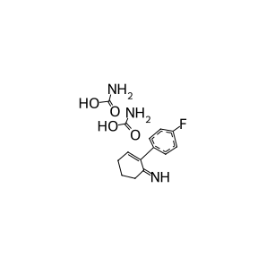 N=C1CCCC=C1c1ccc(F)cc1.NC(=O)O.NC(=O)O